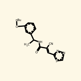 CCCCOc1cccc(C(C)NC(=O)/C(C#N)=C/c2nncs2)c1